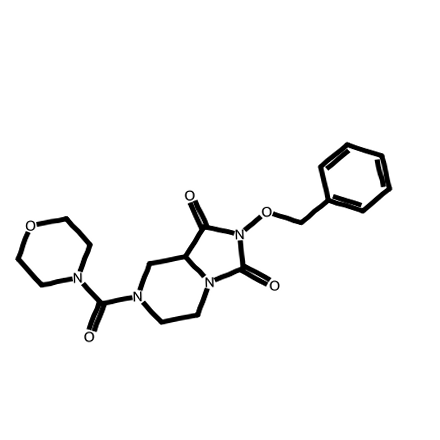 O=C(N1CCOCC1)N1CCN2C(=O)N(OCc3ccccc3)C(=O)C2C1